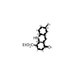 CCOC(=O)c1ccc(=O)c2cc3cc(I)ccc3[nH]c1-2